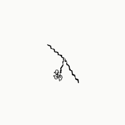 CCCCCCCCCCN(CCCCCCCCCC)CCCC[Si](OC)(OC)OC